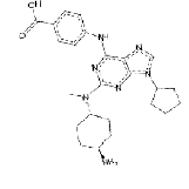 CN(c1nc(Nc2ccc(C(=O)O)cc2)c2ncn(C3CCCC3)c2n1)[C@H]1CC[C@H](N)CC1